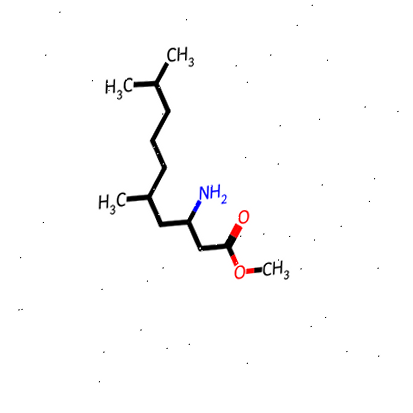 COC(=O)CC(N)CC(C)CCCC(C)C